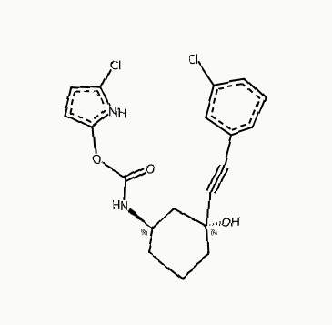 O=C(N[C@@H]1CCC[C@](O)(C#Cc2cccc(Cl)c2)C1)Oc1ccc(Cl)[nH]1